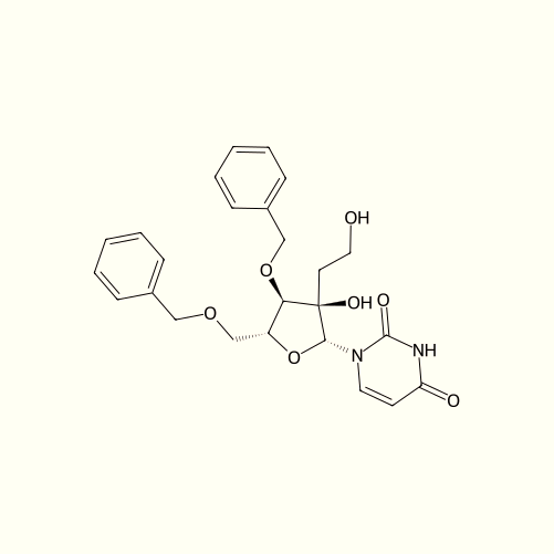 O=c1ccn([C@@H]2O[C@H](COCc3ccccc3)[C@@H](OCc3ccccc3)[C@]2(O)CCO)c(=O)[nH]1